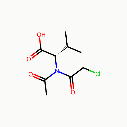 CC(=O)N(C(=O)CCl)[C@H](C(=O)O)C(C)C